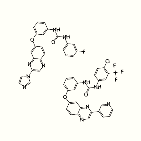 O=C(Nc1cccc(F)c1)Nc1cccc(Oc2ccc3ncc(-n4ccnc4)nc3c2)c1.O=C(Nc1cccc(Oc2ccc3ncc(-c4cccnc4)nc3c2)c1)Nc1ccc(Cl)c(C(F)(F)F)c1